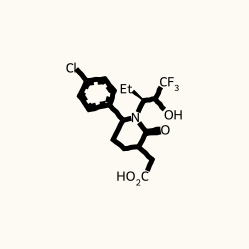 CC[C@@H](C(O)C(F)(F)F)N1C(=O)C(CC(=O)O)CCC1c1ccc(Cl)cc1